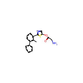 Cc1c(-c2ccccc2)cccc1-c1ncc(OC(=O)CN)s1